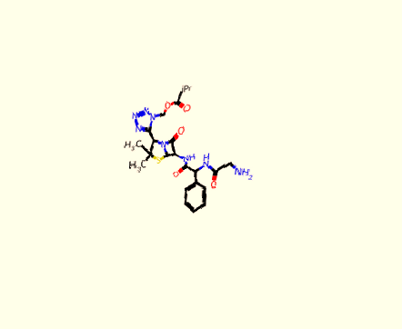 CC(C)C(=O)OCn1nnnc1C1N2C(=O)C(NC(=O)C(NC(=O)CN)c3ccccc3)C2SC1(C)C